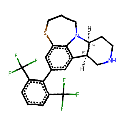 FC(F)(F)c1cccc(C(F)(F)F)c1-c1cc2c3c(c1)[C@@H]1CNCC[C@@H]1N3CCCS2